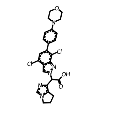 O=C(O)C(c1ncn2c1CCC2)n1cc2c(Cl)cc(-c3ccc(N4CCOCC4)cc3)c(Cl)c2n1